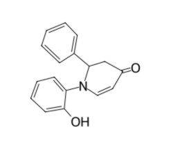 O=C1C=CN(c2ccccc2O)C(c2ccccc2)C1